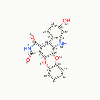 O=c1[nH]c(=O)c2c1c1oc3ccccc3oc1c1[nH]c3cc(O)ccc3c12